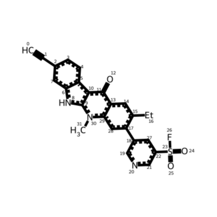 C#Cc1ccc2c(c1)[nH]c1c2c(=O)c2cc(CC)c(-c3cncc(S(=O)(=O)F)c3)cc2n1C